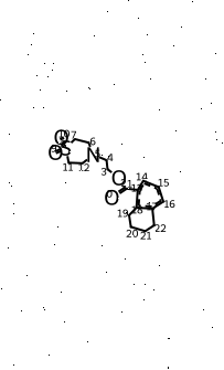 O=C(OCCN1CCS(=O)(=O)CC1)c1cccc2c1CCCC2